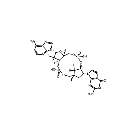 Nc1nc2c(ncn2[C@@H]2S[C@@H]3COP(=O)(O)O[C@@H]4[C@@H](COP(=O)(S)O[C@@H]2[C@H]3F)O[C@@H](n2nnc3c(N)ccnc32)C4(F)F)c(=O)[nH]1